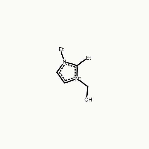 CCc1n(CC)cc[n+]1CO